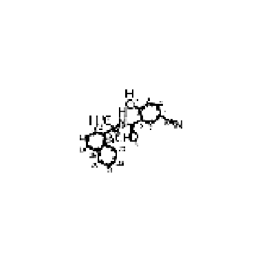 Cc1ccc(C#N)cc1C(=O)NC(C)(C)c1cccc2ccccc12